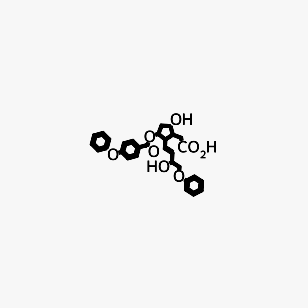 O=C(O)CC1C(O)CC(OC(=O)c2ccc(Oc3ccccc3)cc2)C1C=CC(O)COc1ccccc1